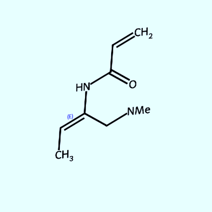 C=CC(=O)N/C(=C/C)CNC